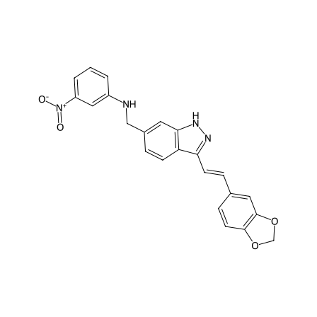 O=[N+]([O-])c1cccc(NCc2ccc3c(/C=C/c4ccc5c(c4)OCO5)n[nH]c3c2)c1